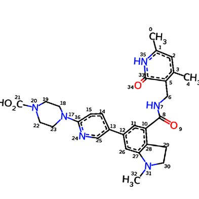 Cc1cc(C)c(CNC(=O)c2cc(-c3ccc(N4CCN(C(=O)O)CC4)nc3)cc3c2CCN3C)c(=O)[nH]1